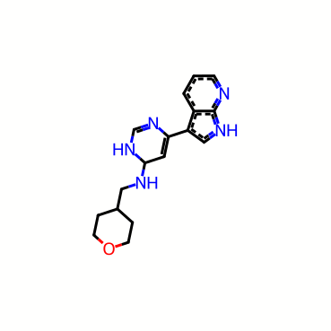 C1=NC(c2c[nH]c3ncccc23)=CC(NCC2CCOCC2)N1